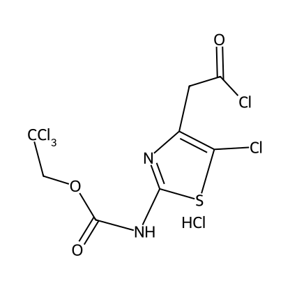 Cl.O=C(Cl)Cc1nc(NC(=O)OCC(Cl)(Cl)Cl)sc1Cl